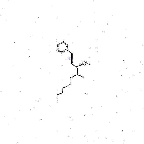 CCCCCCC(C)C(O)/C=C/c1ccccc1